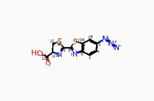 [N-]=[N+]=Nc1ccc2nc(C3=NC(C(=O)O)CS3)sc2c1